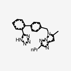 CCCc1nc2cc(C)n(Cc3ccc(-c4ccccc4-c4nnn[nH]4)cc3)n2n1